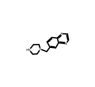 c1cnc2cc(CN3CCNCC3)ccc2n1